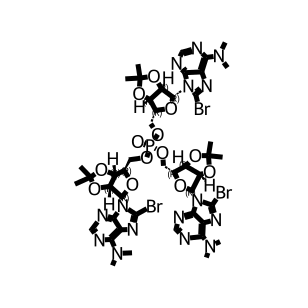 CN(C)c1ncnc2c1nc(Br)n2[C@@H]1O[C@H](COP(=O)(OC[C@H]2O[C@@H](n3c(Br)nc4c(N(C)C)ncnc43)[C@@H]3OC(C)(C)O[C@@H]32)OC[C@H]2O[C@@H](n3c(Br)nc4c(N(C)C)ncnc43)[C@@H]3OC(C)(C)O[C@@H]32)[C@H]2OC(C)(C)O[C@H]21